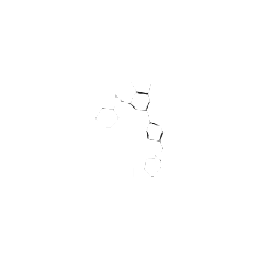 CCN(c1cc(-c2ccc(CN3CC[C@H](F)C3)cc2)cc(C)c1C)C1CCOCC1